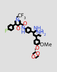 C=C/C(=C\C(=C(N)N)c1ccc(NC(=O)c2cn(CC(F)(F)F)cc(-c3ccc(F)cc3)c2=O)cc1)c1ccc(OC[C@H]2COCCO2)c(OC)c1